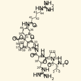 CC(C)C(NC=O)C(=O)N1CCCC1C(=O)NC(CCCNC(=N)N)C(=O)Nc1ccc2c(c1)Oc1cc(NC(=O)CCCCNC(=N)N)ccc1C21OC(=O)c2ccccc21